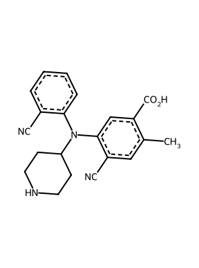 Cc1cc(C#N)c(N(c2ccccc2C#N)C2CCNCC2)cc1C(=O)O